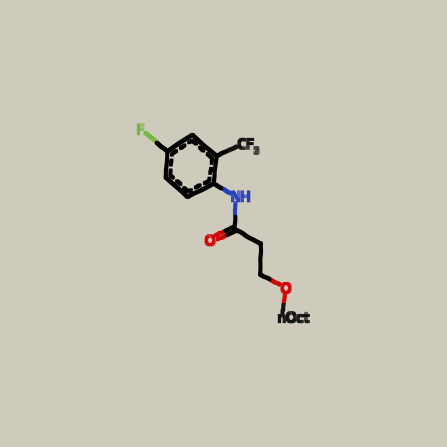 CCCCCCCCOCCC(=O)Nc1ccc(F)cc1C(F)(F)F